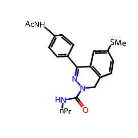 CCCNC(=O)N1Cc2ccc(SC)cc2C(c2ccc(NC(C)=O)cc2)=N1